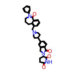 O=C1CCC(N2Cc3cc(C4CCN(Cc5cccc6c5CCCN(c5ccccc5)C6=O)CC4)ccc3C2=O)C(=O)N1